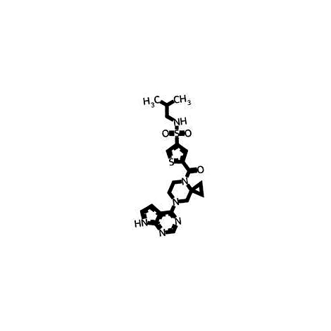 CC(C)CNS(=O)(=O)c1csc(C(=O)N2CCN(c3ncnc4[nH]ccc34)CC23CC3)c1